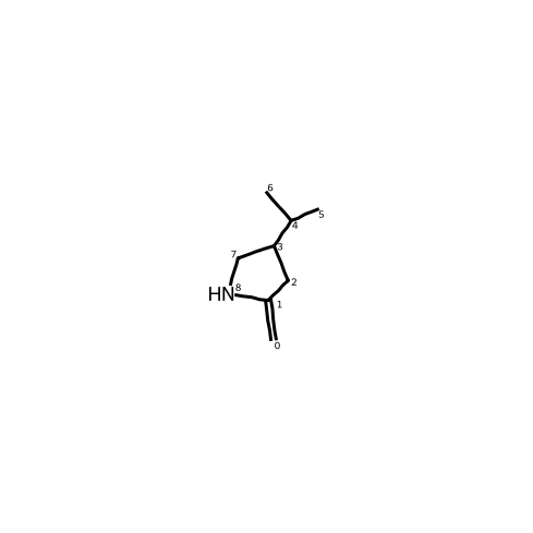 C=C1CC(C(C)C)CN1